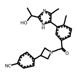 Cc1ccc(C(=O)N2CC(c3ccc(C#N)cc3)C2)cc1-c1[nH]c(C(C)O)nc1C